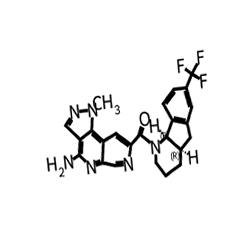 Cn1ncc2c(N)nc3cnc(C(=O)N4CCC[C@@H]5Cc6cc(C(F)(F)F)ccc6[C@@H]54)cc3c21